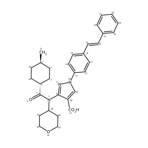 C[C@H]1CC[C@H](C(=O)N(c2nn(-c3ccc(/C=C/c4ccccc4)cc3)cc2C(=O)O)C2CCOCC2)CC1